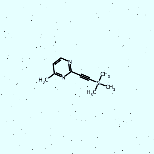 Cc1ccnc(C#C[Si](C)(C)C)n1